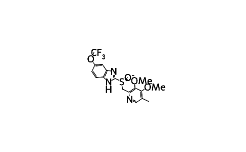 COc1c(C)cnc(C[S+]([O-])c2nc3cc(OC(F)(F)F)ccc3[nH]2)c1OC